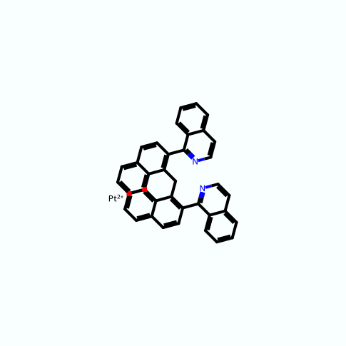 [Pt+2].c1ccc2c(-c3ccc4ccccc4c3Cc3c(-c4nccc5ccccc45)ccc4ccccc34)nccc2c1